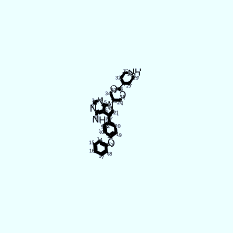 Nc1ncnc2c1c(-c1ccc(Oc3ccccc3)cc1)cn2[C@H]1CO[C@H](C2CCNCC2)OC1